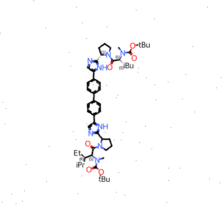 CC[C@H](C(C)C)[C@@H](C(=O)N1CCCC1c1ncc(-c2ccc(-c3ccc(-c4cnc([C@@H]5CCCN5C(=O)[C@H]([C@@H](C)CC)N(C)C(=O)OC(C)(C)C)[nH]4)cc3)cc2)[nH]1)N(C)C(=O)OC(C)(C)C